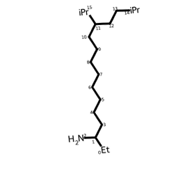 CCC(N)CCCCCCCCC(CCC(C)C)C(C)C